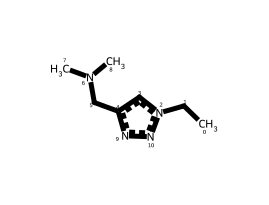 CCn1cc(CN(C)C)nn1